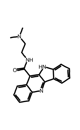 CN(C)CCNC(=O)c1c2ccccc2nc2c1[nH]c1ccccc12